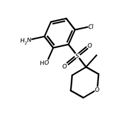 CC1(S(=O)(=O)c2c(Cl)ccc(N)c2O)CCCOC1